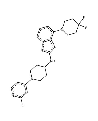 FC1(F)CCN(c2cccn3nc(NC4CCN(c5ccnc(Cl)c5)CC4)nc23)CC1